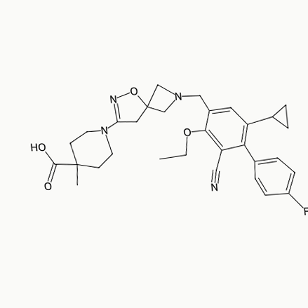 CCOc1c(CN2CC3(CC(N4CCC(C)(C(=O)O)CC4)=NO3)C2)cc(C2CC2)c(-c2ccc(F)cc2)c1C#N